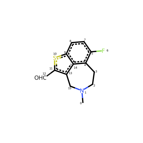 CN1CCc2c(F)ccc3sc(C=O)c(c23)C1